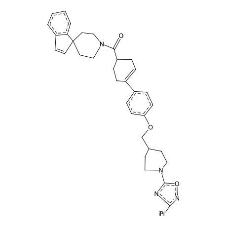 CC(C)c1noc(N2CCC(COc3ccc(C4=CCC(C(=O)N5CCC6(C=Cc7ccccc76)CC5)CC4)cc3)CC2)n1